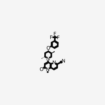 C[C@@H]1C[C@H](Oc2cccc(C(F)(F)F)c2)[C@@H](C)CN1c1cc(=O)n(C)c2ccc(C#N)nc12